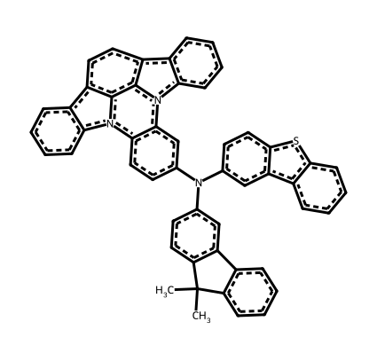 CC1(C)c2ccccc2-c2cc(N(c3ccc4sc5ccccc5c4c3)c3ccc4c(c3)n3c5ccccc5c5ccc6c7ccccc7n4c6c53)ccc21